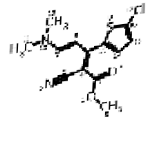 COC(=O)C(C#N)=C(C=CN(C)C)c1ccc(Cl)s1